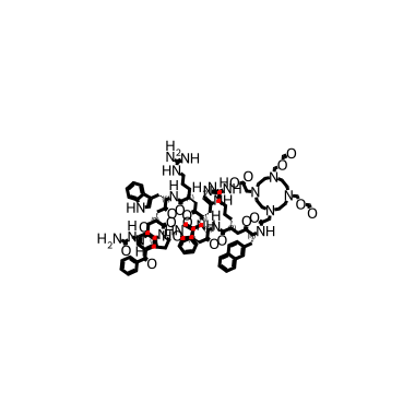 N=C(N)CCCC[C@H](CC(=O)[C@@H](Cc1ccc2ccccc2c1)NC(=O)CN1CCN(COC=O)CCN(COC=O)CCN(CC(=O)O)CC1)C(=O)N[C@@H](Cc1c[nH]c2ccccc12)C(=O)C[C@@H](CO)C(=O)N[C@@H](Cc1cnc[nH]1)C(=O)C[C@H](CCCNC(=N)N)C(=O)N[C@@H](Cc1c[nH]c2ccccc12)C(=O)C[C@@H](Cc1ccc(C(=O)c2ccccc2)cc1)C(=O)N1CCC[C@H]1C(=O)NNC(N)=O